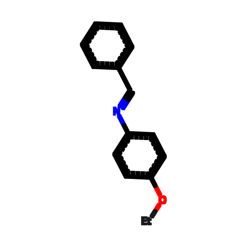 CCOc1ccc(N=Cc2ccccc2)cc1